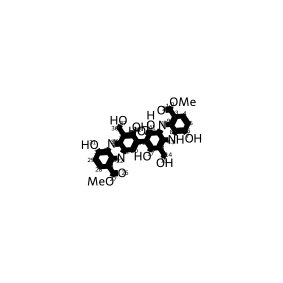 COC(=O)c1ccc(O)c2c1N=C1C(=C(CO)C(O)=C(c3cc4nc5c(C(=O)OC)ccc(O)c5nc4c(CO)c3O)C1(O)O)N2